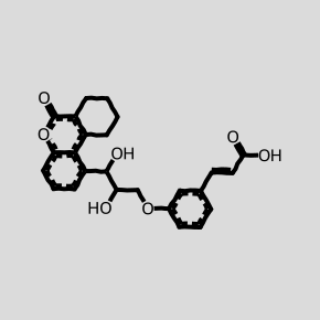 O=C(O)/C=C/c1cccc(OCC(O)C(O)c2cccc3oc(=O)c4c(c23)CCCC4)c1